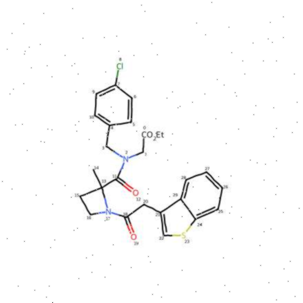 CCOC(=O)CN(Cc1ccc(Cl)cc1)C(=O)C1(C)CCN1C(=O)Cc1csc2ccccc12